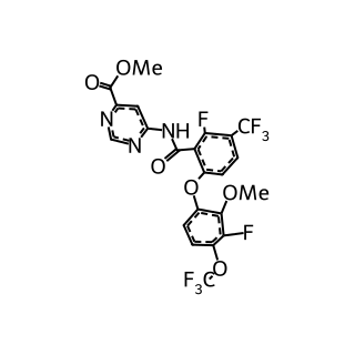 COC(=O)c1cc(NC(=O)c2c(Oc3ccc(OC(F)(F)F)c(F)c3OC)ccc(C(F)(F)F)c2F)ncn1